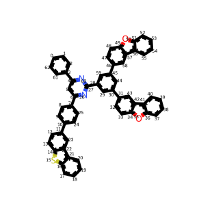 c1ccc(-c2cc(-c3ccc(-c4ccc5sc6ccccc6c5c4)cc3)nc(-c3cc(-c4ccc5oc6ccccc6c5c4)cc(-c4ccc5oc6ccccc6c5c4)c3)n2)cc1